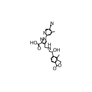 Cc1cc(-n2cc(CNCC(O)c3ccc4c(c3C)COC4=O)c(C(=O)O)n2)ncc1C#N